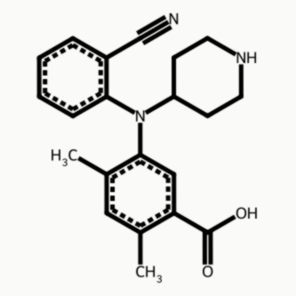 Cc1cc(C)c(N(c2ccccc2C#N)C2CCNCC2)cc1C(=O)O